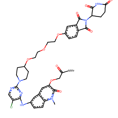 CNC(=O)COc1cc2cc(Nc3nc(N4CCC(OCCOCCOc5ccc6c(c5)C(=O)N(C5CCC(=O)NC5=O)C6=O)CC4)ncc3Cl)ccc2n(C)c1=O